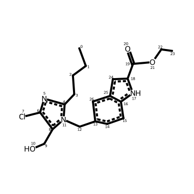 CCCCc1nc(Cl)c(CO)n1Cc1ccc2[nH]c(C(=O)OCC)cc2c1